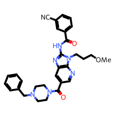 COCCCn1c(NC(=O)c2cccc(C#N)c2)nc2cc(C(=O)N3CCN(Cc4ccccc4)CC3)cnc21